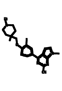 CCN1CCC(C)(COc2ccc(-c3nc(C#N)nc4c3ccn4C)cc2C)CC1